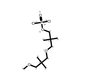 COCC(C)(C)COCC(C)(C)COP(=O)(Cl)Cl